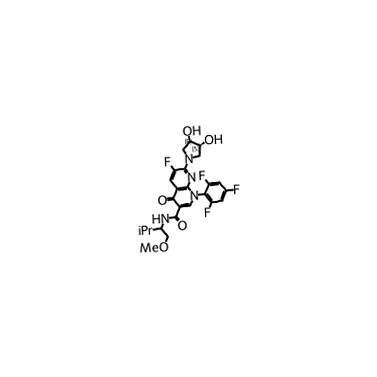 COCC(NC(=O)c1cn(-c2c(F)cc(F)cc2F)c2nc(N3C[C@@H](O)[C@@H](O)C3)c(F)cc2c1=O)C(C)C